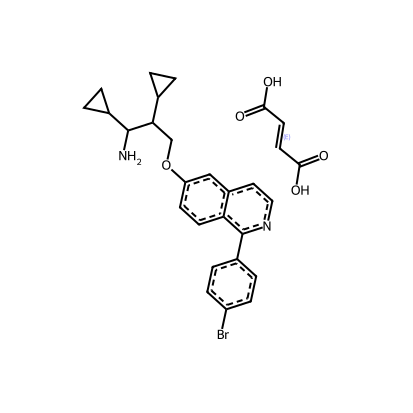 NC(C1CC1)C(COc1ccc2c(-c3ccc(Br)cc3)nccc2c1)C1CC1.O=C(O)/C=C/C(=O)O